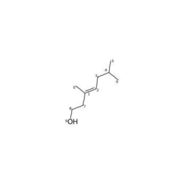 C/C(=C\CC(C)C)CCO